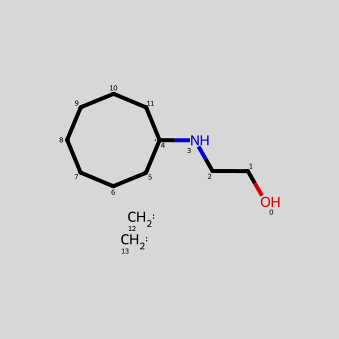 OCCN[C]1CCCCCCC1.[CH2].[CH2]